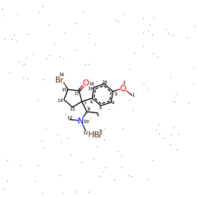 Br.COc1ccc(C2(C(C)N(C)C)CCC(Br)C2=O)cc1